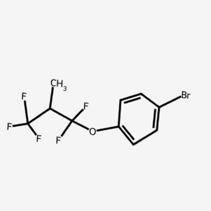 CC(C(F)(F)F)C(F)(F)Oc1ccc(Br)cc1